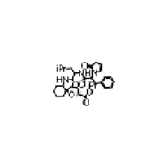 CC(C)CC(NC(=O)C(Cc1ccccc1)N1CCCC1=O)C(=O)NC1CCCCC1(O)CCCC(=O)OC(C)C